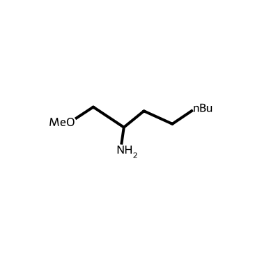 CCCCCCC(N)COC